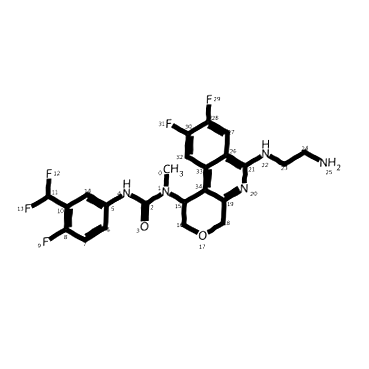 CN(C(=O)Nc1ccc(F)c(C(F)F)c1)C1COCc2nc(NCCN)c3cc(F)c(F)cc3c21